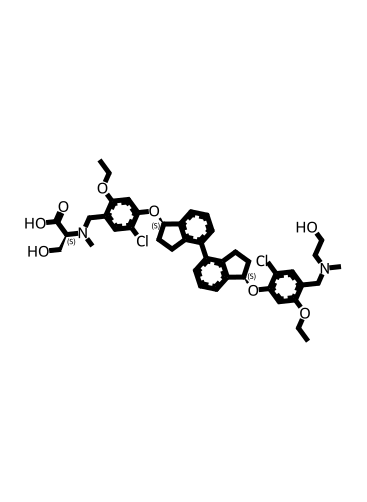 CCOc1cc(O[C@H]2CCc3c(-c4cccc5c4CC[C@@H]5Oc4cc(OCC)c(CN(C)[C@@H](CO)C(=O)O)cc4Cl)cccc32)c(Cl)cc1CN(C)CCO